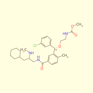 CNC(CNC(=O)c1ccc(C)c([C@@H](OCCNC(=O)OC)c2cccc(Cl)c2)c1)CC1CCCCC1